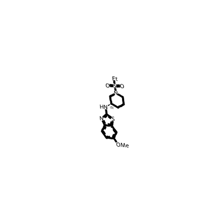 CCS(=O)(=O)N1CCC[C@H](Nc2nc3ccc(OC)cc3s2)C1